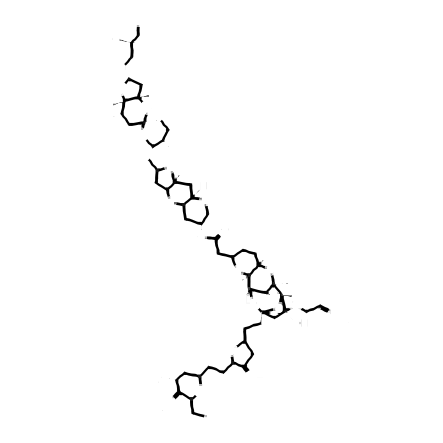 C=CCO[C@@]1(O)C[C@]2(CCC3CC(=C)C(CCC4C[C@@H](C)C(=C)C(CC)O4)O3)O[C@@H]3[C@H](I)[C@@H](O[C@H]4CCC(CC(=O)O[C@H]5CO[C@H]6C[C@H]7OC(C[C@@H]8O[C@@]9(CC[C@@H]8O)C[C@H](C)[C@@H]8O[C@H](CC[C@@H](O)CO)C[C@@H]8O9)CC7OC6C5)O[C@H]34)[C@H]1O2